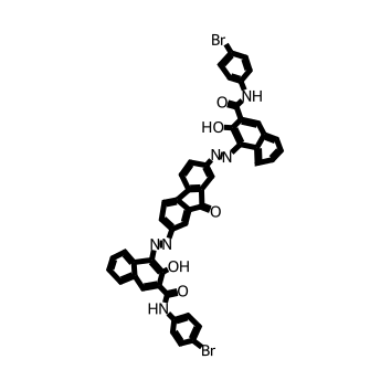 O=C1c2cc(N=Nc3c(O)c(C(=O)Nc4ccc(Br)cc4)cc4ccccc34)ccc2-c2ccc(N=Nc3c(O)c(C(=O)Nc4ccc(Br)cc4)cc4ccccc34)cc21